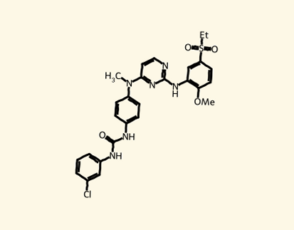 CCS(=O)(=O)c1ccc(OC)c(Nc2nccc(N(C)c3ccc(NC(=O)Nc4cccc(Cl)c4)cc3)n2)c1